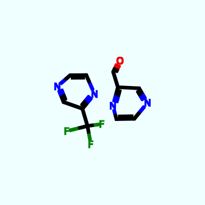 FC(F)(F)c1cnccn1.O=Cc1cnccn1